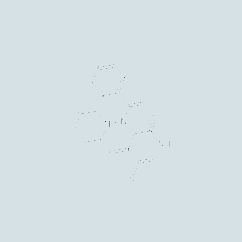 NC(=O)[C@H](C(=O)C(=O)O)N(C(=O)c1ccccc1)N1CCCCC1